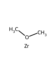 COC.[Zr]